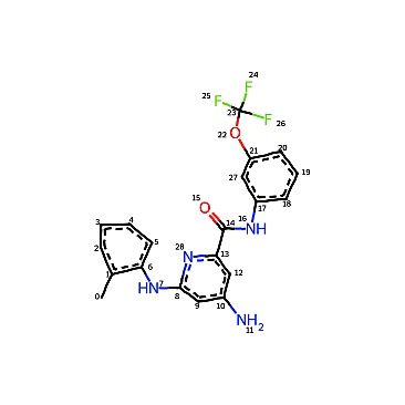 Cc1ccccc1Nc1cc(N)cc(C(=O)Nc2cccc(OC(F)(F)F)c2)n1